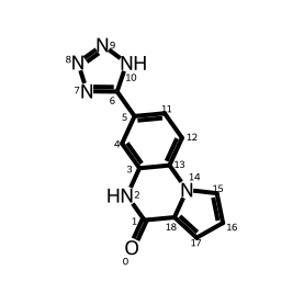 O=c1[nH]c2cc(-c3nnn[nH]3)ccc2n2cccc12